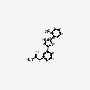 NC(=O)Cc1cc(-c2c[nH]c(-c3ccccc3Cl)n2)ccn1